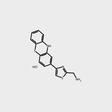 Cl.NCc1nc(-c2ccc3c(c2)Nc2ccccc2S3)cs1